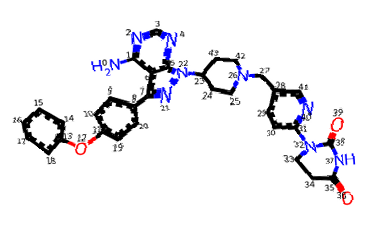 Nc1ncnc2c1c(-c1ccc(Oc3ccccc3)cc1)nn2C1CCN(Cc2ccc(N3CCC(=O)NC3=O)nc2)CC1